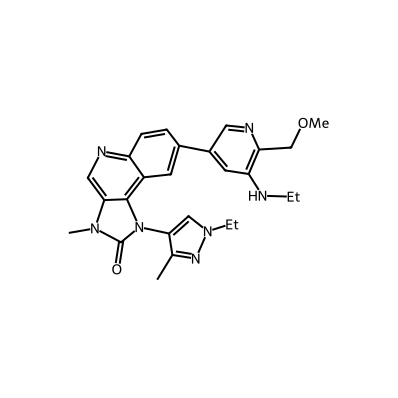 CCNc1cc(-c2ccc3ncc4c(c3c2)n(-c2cn(CC)nc2C)c(=O)n4C)cnc1COC